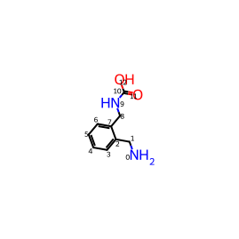 NCc1ccccc1CNC(=O)O